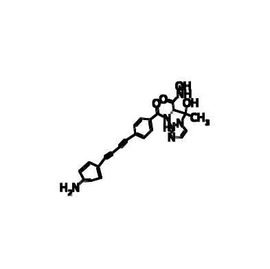 CC(O)([C@H](NC(=O)c1ccc(C#CC#Cc2ccc(N)cc2)cc1)C(=O)NO)n1ccnn1